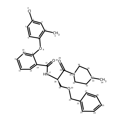 Cc1cc(Cl)ccc1Oc1ncccc1C(=O)N[C@H](COCc1ccccc1)C(=O)N1CCN(C)CC1